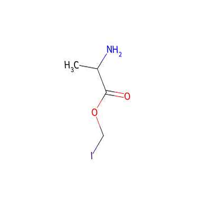 CC(N)C(=O)OCI